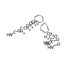 C.C.C.C.C.C.C.N=C=O.N=C=O.N=C=O.N=C=O.c1ccccc1.c1ccccc1